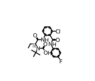 CC[C@@H](C(=O)Nc1cccc(Cl)c1C(=O)Nc1ccc(F)cc1)N(C(=O)O)C(C)(C)C